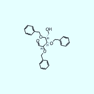 O=C[C@H](OCc1ccccc1)[C@@H](OCc1ccccc1)[C@@H](CO)OCc1ccccc1